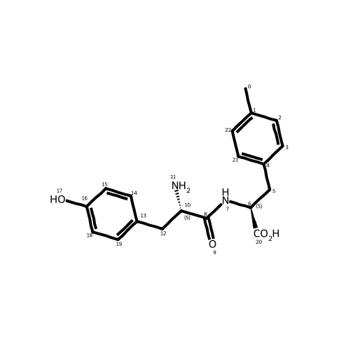 Cc1ccc(C[C@H](NC(=O)[C@@H](N)Cc2ccc(O)cc2)C(=O)O)cc1